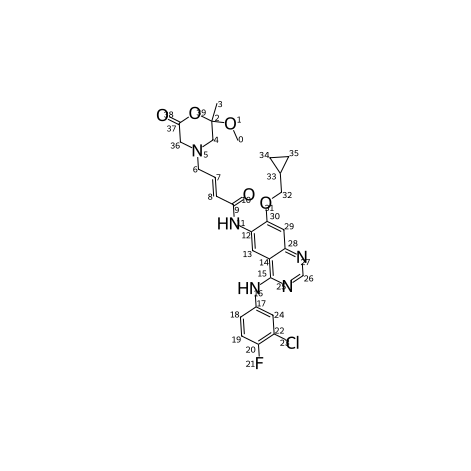 COC1(C)CN(CC=CC(=O)Nc2cc3c(Nc4ccc(F)c(Cl)c4)ncnc3cc2OCC2CC2)CC(=O)O1